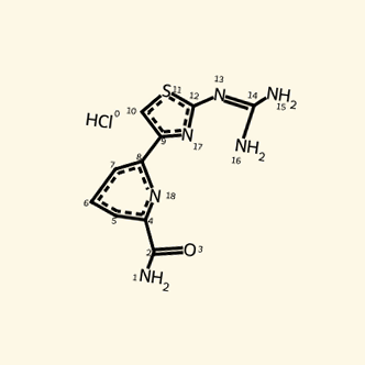 Cl.NC(=O)c1cccc(-c2csc(N=C(N)N)n2)n1